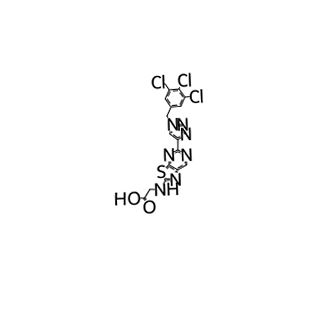 O=C(O)CNc1nc2cnc(-c3cn(Cc4cc(Cl)c(Cl)c(Cl)c4)nn3)nc2s1